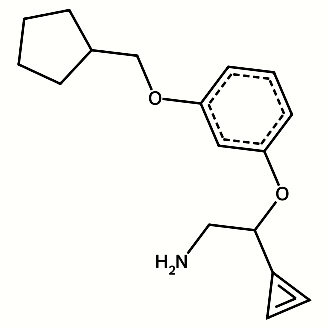 NCC(Oc1cccc(OCC2CCCC2)c1)C1=C=C1